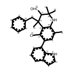 Cc1cc(-c2cccc3cc[nH]c23)c(Cl)c2c1NC(C)(C)C(C=O)C2(C)Cc1ccccc1